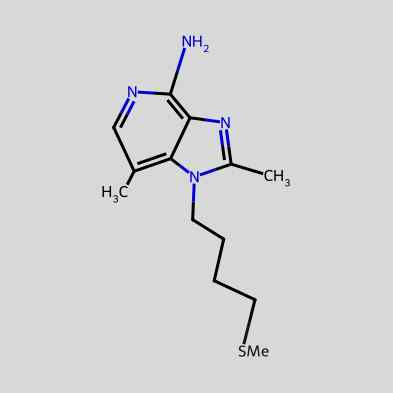 CSCCCCn1c(C)nc2c(N)ncc(C)c21